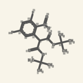 CC(C)(C)OC(=O)C(C(=O)OC(C)(C)C)c1cc(F)cc(F)c1[N+](=O)[O-]